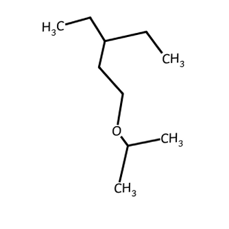 CCC(CC)CCOC(C)C